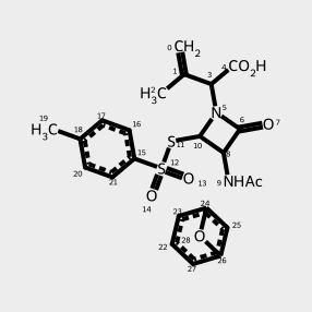 C=C(C)C(C(=O)O)N1C(=O)C(NC(C)=O)C1SS(=O)(=O)c1ccc(C)cc1.c1cc2cc(c1)O2